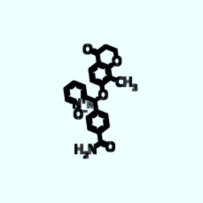 Cc1c(O[C@@H](c2ccc(C(N)=O)cc2)c2cccc[n+]2[O-])ccc2c1OCCC2=O